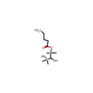 CCCC[Si](C)(C)C(CCC)[Si](C)(C)OC(=O)CCCC(=O)O